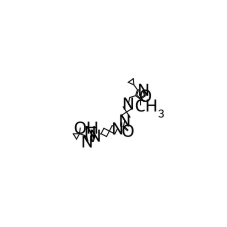 Cc1onc(C2CC2)c1CN1CC2(C1)CN(C(=O)N1CC3(CC(n4cnc(C5(O)CC5)n4)C3)C1)C2